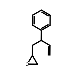 C=C[C](CC1CO1)c1ccccc1